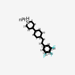 CCC[SiH]1CCC(C2CCC(CCc3cc(F)c(F)c(F)c3)CC2)CC1